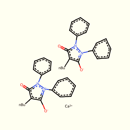 CCCCc1c([O-])n(-c2ccccc2)n(-c2ccccc2)c1=O.CCCCc1c([O-])n(-c2ccccc2)n(-c2ccccc2)c1=O.[Ca+2]